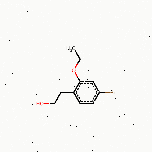 CCOc1cc(Br)ccc1CCO